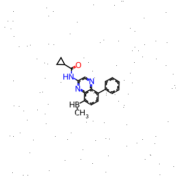 CBc1ccc(-c2ccccc2)c2ncc(NC(=O)C3CC3)nc12